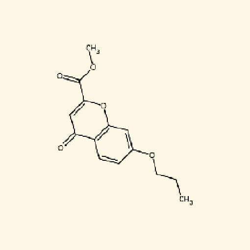 CCCOc1ccc2c(=O)cc(C(=O)OC)oc2c1